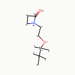 CC(C)(C)[Si](C)(C)OCCN1CCC1=O